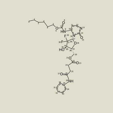 CCCCCCOC(=O)Nc1ccnc(=O)n1[C@@H]1O[C@H](COC(=O)CCC(=O)Nc2ccccc2)[C@@H](O)C1(F)F